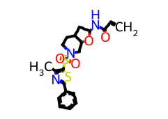 C=CC(=O)NC1CC2CCN(S(=O)(=O)c3sc(-c4ccccc4)nc3C)CC2O1